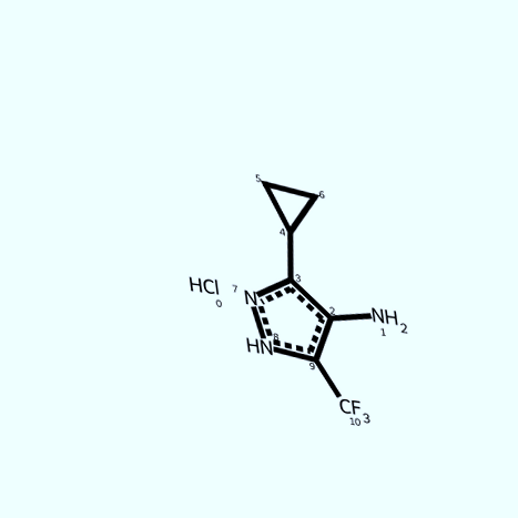 Cl.Nc1c(C2CC2)n[nH]c1C(F)(F)F